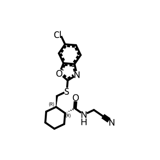 N#CCNC(=O)[C@@H]1CCCC[C@H]1CSc1nc2ccc(Cl)cc2o1